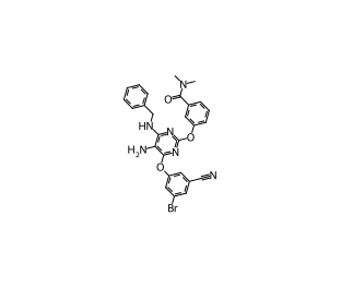 CN(C)C(=O)c1cccc(Oc2nc(NCc3ccccc3)c(N)c(Oc3cc(Br)cc(C#N)c3)n2)c1